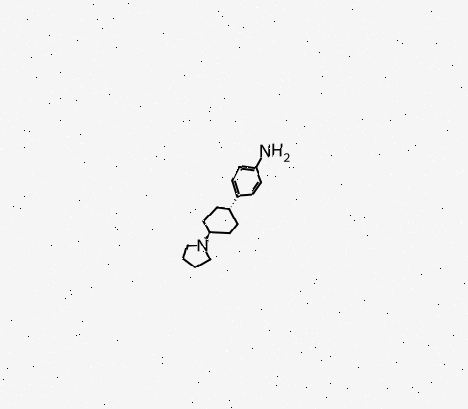 Nc1ccc([C@H]2CC[C@H](N3CCCC3)CC2)cc1